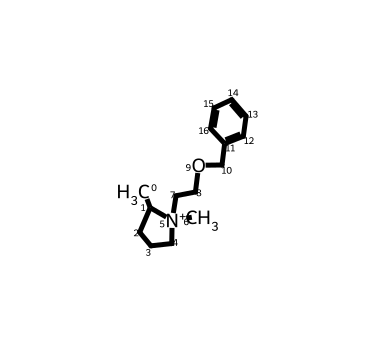 CC1CCC[N+]1(C)CCOCc1ccccc1